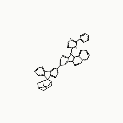 c1ccc(-c2nccc(-n3c4ccc(-c5ccc6c(c5)-c5ccccc5C65C6CC7CC(C6)CC5C7)cc4c4ccc5ccccc5c43)n2)cc1